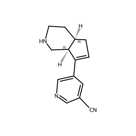 N#Cc1cncc(C2=CC[C@@H]3CCNC[C@H]23)c1